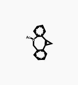 CC(=O)N1Cc2ccccc2C2=C(C2)c2ccccc21